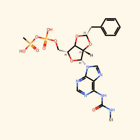 CCNC(=O)Nc1ncnc2c1ncn2[C@@H]1O[C@H](COP(=O)(O)OP(C)(=O)O)C2O[C@H](Cc3ccccc3)O[C@@H]21